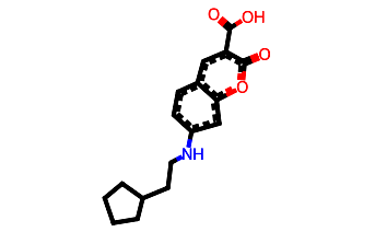 O=C(O)c1cc2ccc(NCCC3CCCC3)cc2oc1=O